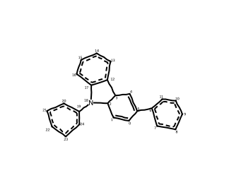 C1=CC2C(C=C1c1ccccc1)c1ccccc1N2c1ccccc1